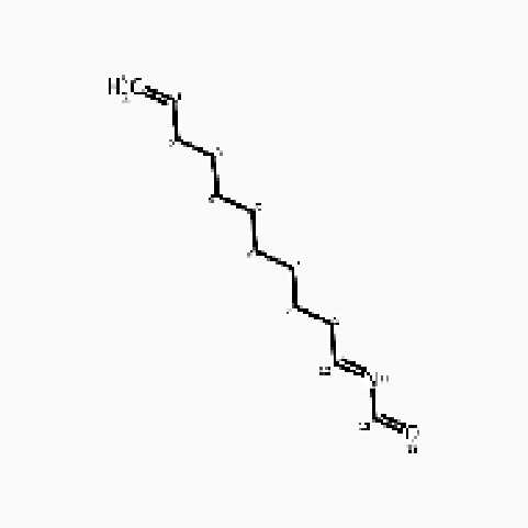 C=CCCCCCCCCC=NC=O